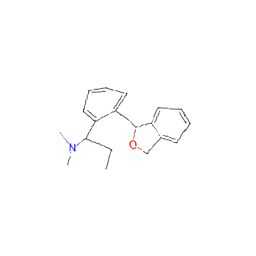 CCC(c1ccccc1C1OCc2ccccc21)N(C)C